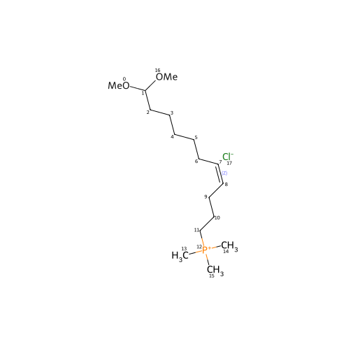 COC(CCCCC/C=C\CCC[P+](C)(C)C)OC.[Cl-]